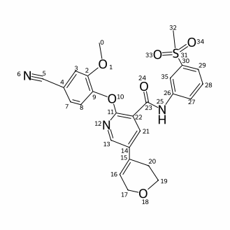 COc1cc(C#N)ccc1Oc1ncc(C2=CCOCC2)cc1C(=O)Nc1cccc(S(C)(=O)=O)c1